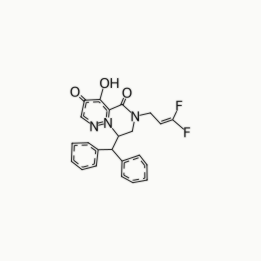 O=C1c2c(O)c(=O)cnn2C(C(c2ccccc2)c2ccccc2)CN1CC=C(F)F